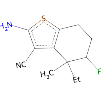 CCC1(C)c2c(sc(N)c2C#N)CCC1F